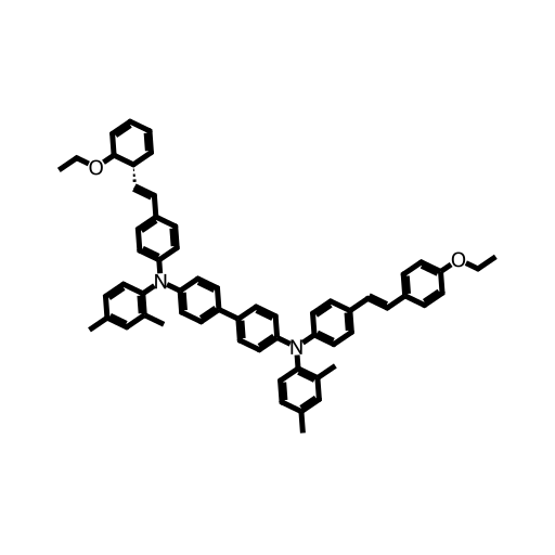 CCOc1ccc(/C=C/c2ccc(N(c3ccc(-c4ccc(N(c5ccc(/C=C/[C@H]6C=CC=CC6OCC)cc5)c5ccc(C)cc5C)cc4)cc3)c3ccc(C)cc3C)cc2)cc1